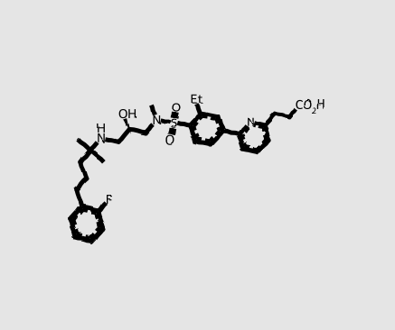 CCc1cc(-c2cccc(CCC(=O)O)n2)ccc1S(=O)(=O)N(C)C[C@H](O)CNC(C)(C)CCCc1ccccc1F